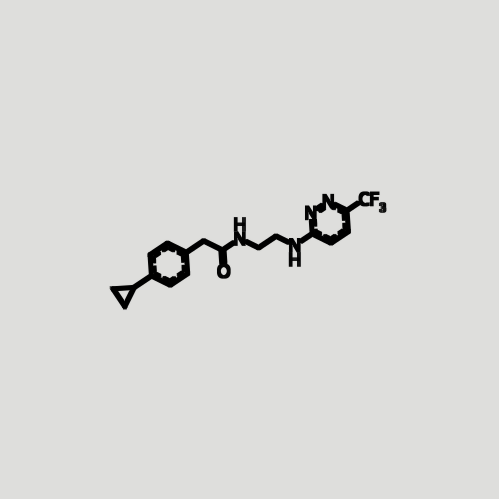 O=C(Cc1ccc(C2CC2)cc1)NCCNc1ccc(C(F)(F)F)nn1